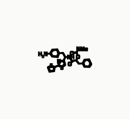 CNC(=O)OC(Cc1ccccc1)C(=O)NC(Cc1ccc(N)cc1)c1csc(-c2cccs2)n1